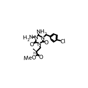 COC(=O)[C@@H](C)CN1C(=O)N(N)C(N)N(Cc2ccc(Cl)cc2)C1=O